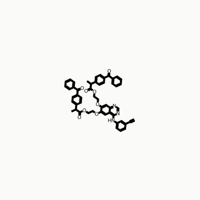 C#Cc1cccc(Nc2ncnc3cc(OCCOC(=O)C(C)c4ccc(C(=O)c5ccccc5)cc4)c(OCCOC(=O)C(C)c4ccc(C(=O)c5ccccc5)cc4)cc23)c1